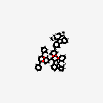 c1ccc(-c2ccc(-c3ccccc3N(c3cccc(-c4ccc5c(c4)-c4ccccc4C54c5ccccc5Oc5ccccc54)c3)c3ccccc3-c3cccc4c3-c3ccccc3C43c4ccccc4Oc4ccccc43)cc2)cc1